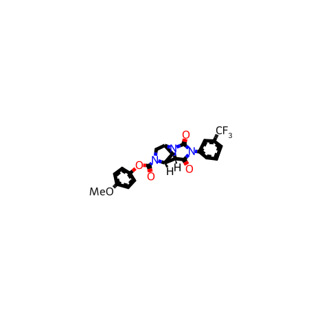 COc1ccc(OC(=O)N2CC3C[C@@H]2[C@@H]2C(=O)N(c4cccc(C(F)(F)F)c4)C(=O)N32)cc1